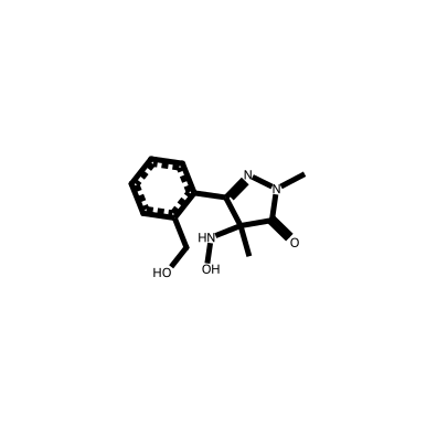 CN1N=C(c2ccccc2CO)C(C)(NO)C1=O